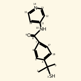 CC(C)(S)c1ccc(C(=O)Nc2ccncc2)cc1